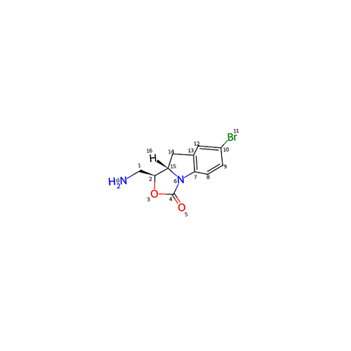 NC[C@@H]1OC(=O)N2c3ccc(Br)cc3C[C@@H]12